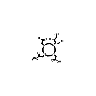 CCOC(=O)CN1CCN(CC(=O)O)CCN([C@H](CO)[C@H](O)CO)CCN(CC(=O)O)CC1